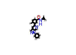 Cc1ccc(C(=O)NC2CC2)cc1-c1cc2cnn(-c3ccccc3)c2cn1